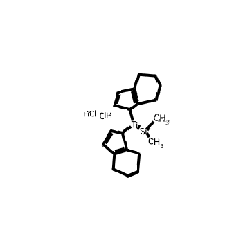 C[Si](C)=[Ti]([CH]1C=CC2=C1CCCC2)[CH]1C=CC2=C1CCCC2.Cl.Cl